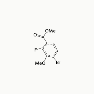 COC(=O)c1ccc(Br)c(OC)c1F